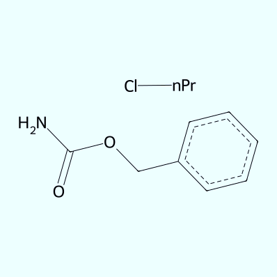 CCCCl.NC(=O)OCc1ccccc1